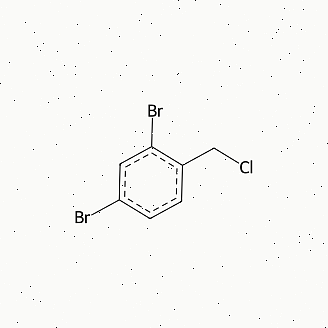 ClCc1ccc(Br)cc1Br